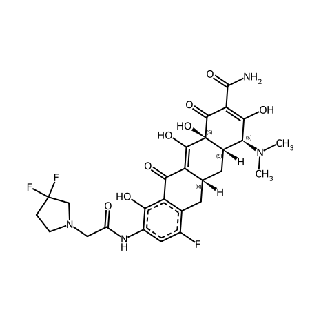 CN(C)[C@@H]1C(O)=C(C(N)=O)C(=O)[C@@]2(O)C(O)=C3C(=O)c4c(O)c(NC(=O)CN5CCC(F)(F)C5)cc(F)c4C[C@H]3C[C@@H]12